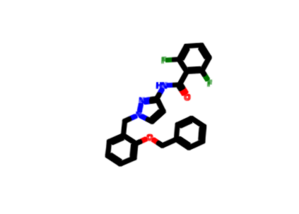 O=C(Nc1ccn(Cc2ccccc2OCc2ccccc2)n1)c1c(F)cccc1F